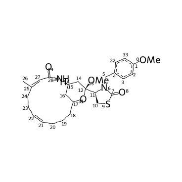 COc1ccc(CN2C(=O)SC[C@H]2[C@@]2(OC)C[C@H]3CC(CCC/C=C\CC/C(C)=C\C(=O)N3)O2)cc1